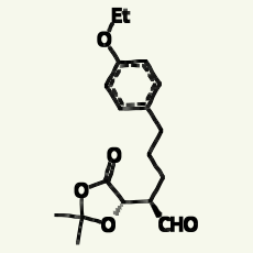 CCOc1ccc(CCC[C@@H](C=O)[C@@H]2OC(C)(C)OC2=O)cc1